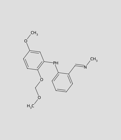 C/N=C/c1ccccc1Pc1cc(OC)ccc1OCOC